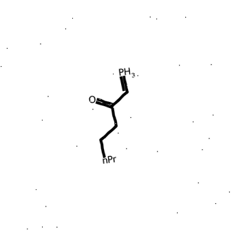 CCCCCC(=O)C=[PH3]